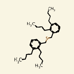 CCCCc1cccc(CSCc2cccc(CCCC)c2CCCC)c1CCCC